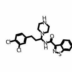 O=C(NC(CCc1ccc(Cl)c(Cl)c1)N1CCNCC1)c1nsc2ccccc12